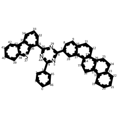 c1ccc(-c2nc(-c3ccc4ccc5c(ccc6c7ccccc7ccc65)c4c3)nc(-c3cccc4c3sc3ccccc34)n2)cc1